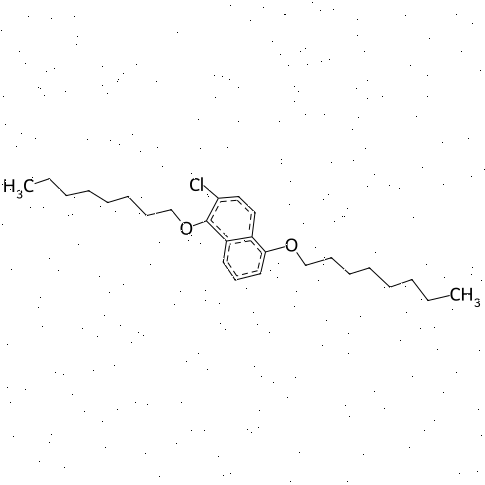 CCCCCCCCOc1cccc2c(OCCCCCCCC)c(Cl)ccc12